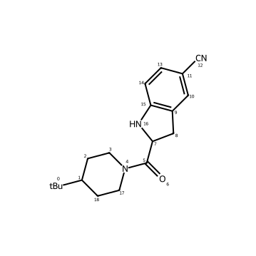 CC(C)(C)C1CCN(C(=O)C2Cc3cc(C#N)ccc3N2)CC1